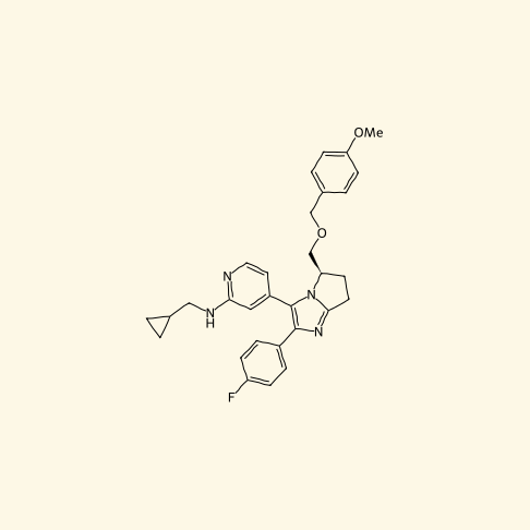 COc1ccc(COC[C@H]2CCc3nc(-c4ccc(F)cc4)c(-c4ccnc(NCC5CC5)c4)n32)cc1